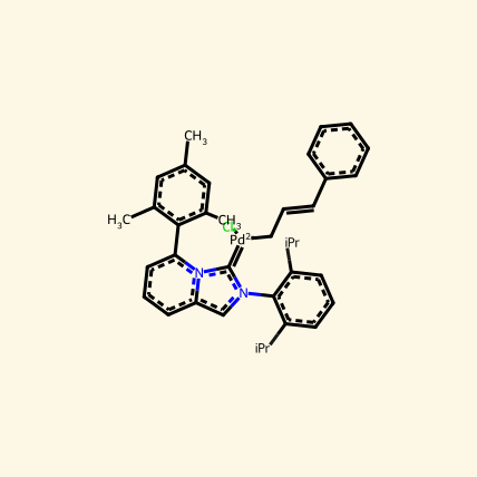 Cc1cc(C)c(-c2cccc3cn(-c4c(C(C)C)cccc4C(C)C)[c](=[Pd-2]([Cl])[CH2]C=Cc4ccccc4)n23)c(C)c1